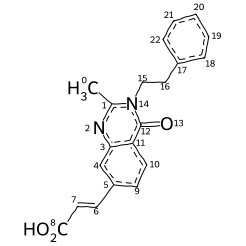 Cc1nc2cc(C=CC(=O)O)ccc2c(=O)n1CCc1ccccc1